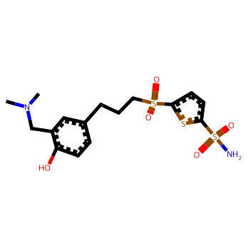 CN(C)Cc1cc(CCCS(=O)(=O)c2ccc(S(N)(=O)=O)s2)ccc1O